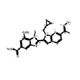 COC(=O)c1cc(OC)c2c(c1)nc(-c1cc3ccc(C(C)=NO)nc3n1CC1CC1)n2C